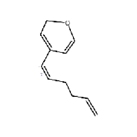 C=CCC/C=[C]\C1=CCOC=C1